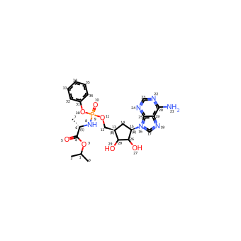 CC(C)OC(=O)[C@H](C)NP(=O)(OC[C@H]1C[C@@H](n2cnc3c(N)ncnc32)C(O)C1O)Oc1ccccc1